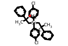 CC(C)([CH2][Sn]([CH2]C(C)(C)c1ccccc1)([c]1ccc(Cl)cc1)[c]1ccc(Cl)cc1)c1ccccc1